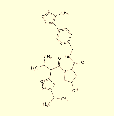 Cc1nocc1-c1ccc(CNC(=O)C2CC(O)CN2C(=O)C(c2cc(C(C)C)no2)C(C)C)cc1